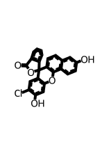 O=C1OC2(c3cc(Cl)c(O)cc3Oc3c2ccc2cc(O)ccc32)c2ccccc21